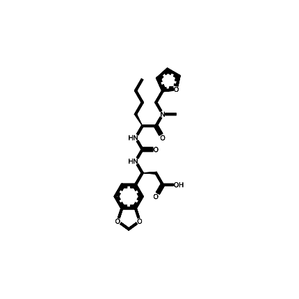 CCCC[C@H](NC(=O)N[C@@H](CC(=O)O)c1ccc2c(c1)OCO2)C(=O)N(C)Cc1ccco1